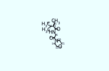 C/C=C(/C(=O)NCC(=O)N1CCOCC1)C(C)C